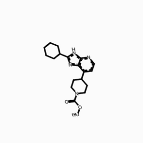 CC(C)(C)OC(=O)N1CCC(c2ccnc3[nH]c(C4CCCCC4)nc23)CC1